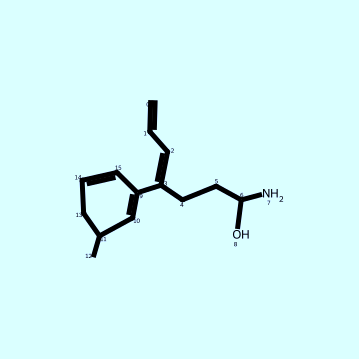 C=C/C=C(/CCC(N)O)C1=CC(C)CC=C1